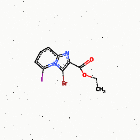 CCOC(=O)c1nc2cccc(I)n2c1Br